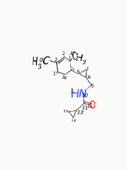 CC1=CC(C)C(C2CC2CNC(=O)C2CC2)CC1